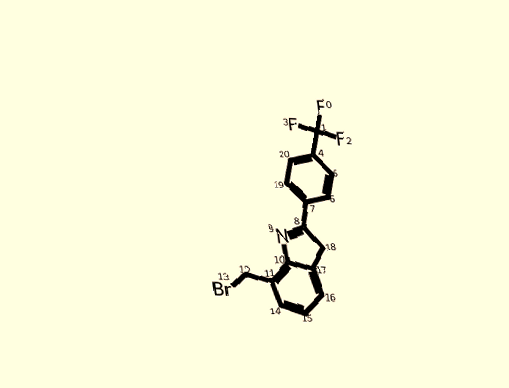 FC(F)(F)c1ccc(C2=Nc3c(CBr)cccc3C2)cc1